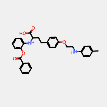 Cc1ccc(NCCOc2ccc(CCC(Nc3ccccc3OC(=O)c3ccccc3)C(=O)O)cc2)cc1